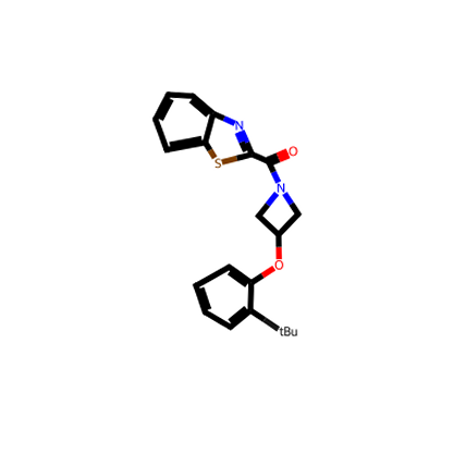 CC(C)(C)c1ccccc1OC1CN(C(=O)c2nc3ccccc3s2)C1